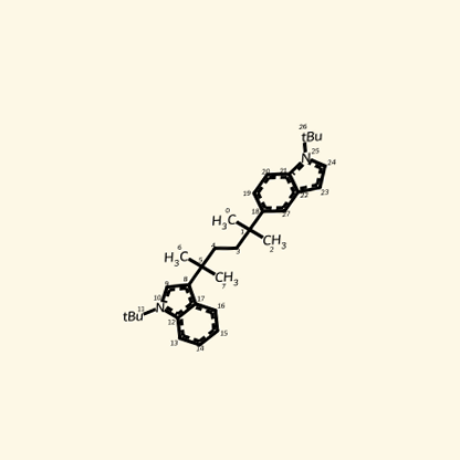 CC(C)(CCC(C)(C)c1cn(C(C)(C)C)c2ccccc12)c1ccc2c(ccn2C(C)(C)C)c1